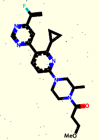 C=C(F)c1cc(-c2ccc(N3CCN(C(=O)CCOC)C(C)C3)nc2C2CC2)ncn1